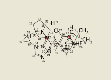 CC(C)(C)NS(=O)(=O)c1cc(N2[C@@H]3CC[C@H]2CN(C(=O)c2ccc(F)cc2Cl)C3)c2c(c1)ncn2C1CC1